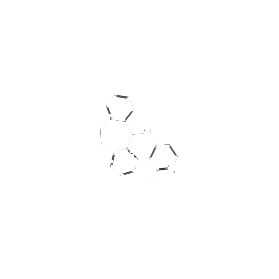 Cc1cc(NC2c3ccccc3CCc3ccccc32)ccn1